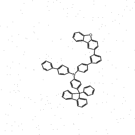 c1ccc(-c2ccc(N(c3ccc(-c4cccc(-c5ccc6oc7ccccc7c6c5)c4)cc3)c3ccc(C4(c5ccccc5)c5ccccc5-c5ccccc54)cc3)cc2)cc1